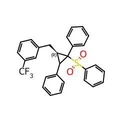 O=S(=O)(c1ccccc1)C1(c2ccccc2)C(c2ccccc2)[C@H]1Cc1cccc(C(F)(F)F)c1